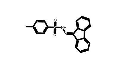 Cc1ccc(S(=O)(=O)NN=C2c3ccccc3-c3ccccc32)cc1